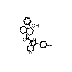 O=C(c1nc(-c2ccc(F)cc2)c2cnccn12)N1CC[C@](O)(c2ccccc2)[C@H]2CCCC[C@H]21